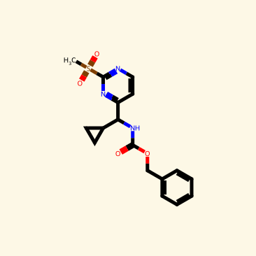 CS(=O)(=O)c1nccc(C(NC(=O)OCc2ccccc2)C2CC2)n1